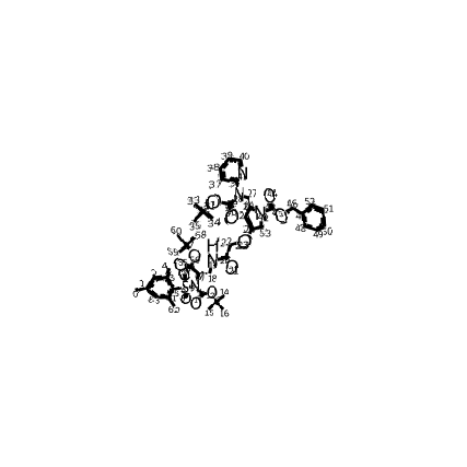 Cc1cc(C)c(S(=O)(=O)N(C(=O)OC(C)(C)C)[C@@H](CNC(=O)COC2=C[C@@H](CN(C(=O)OC(C)(C)C)c3ccccn3)N(C(=O)OCc3ccccc3)C2)C(=O)OC(C)(C)C)c(C)c1